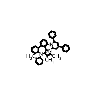 Cc1c2c(n(C3CC(c4ccccc4)=CC(c4ccccc4)N3)c1C)-c1ccccc1C1C=CC=CC1N2C1CCC=CC1C